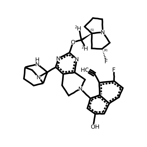 [2H]C([2H])(Oc1nc2c(c(N3CC4CCC3CN4)n1)CCN(c1cc(O)cc3ccc(F)c(C#C)c13)C2)[C@@]12CCCN1C[C@H](F)C2